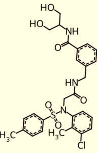 Cc1ccc(S(=O)(=O)N(CC(=O)NCc2cccc(C(=O)NC(CO)CO)c2)c2cccc(Cl)c2C)cc1